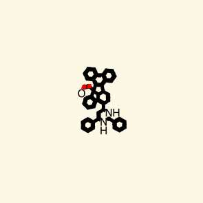 C1=CC2c3c(c4ccccc4c4ccccc34)C3(c4ccccc4Oc4ccccc43)C2C=C1C1C=C(c2ccccc2)NC(c2ccccc2)N1